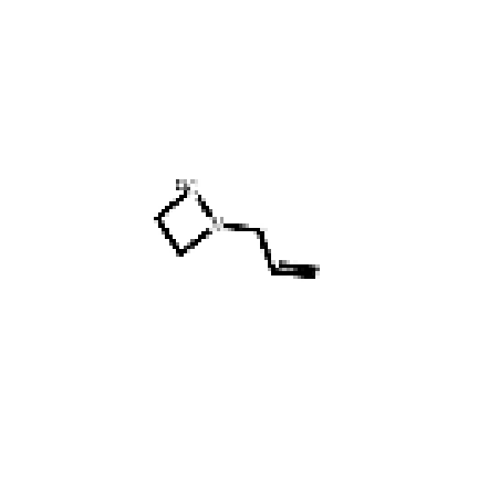 C=C[CH]N1CC[13CH2]1